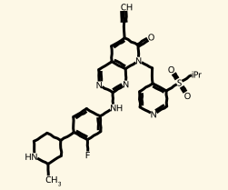 C#Cc1cc2cnc(Nc3ccc(C4CCNC(C)C4)c(F)c3)nc2n(Cc2ccncc2S(=O)(=O)C(C)C)c1=O